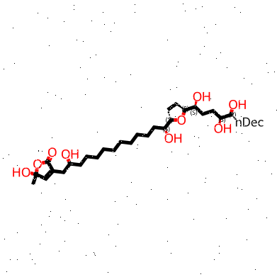 CCCCCCCCCC[C@@H](O)[C@@H](O)CC[C@H](O)[C@@H]1CC[C@@H]([C@@H](O)CCCCCCCCCCC(O)CC2=CC(C)(O)OC2=O)O1